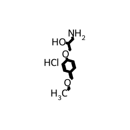 CCOC=C1C=CC(OCC(O)CN)C=C1.Cl